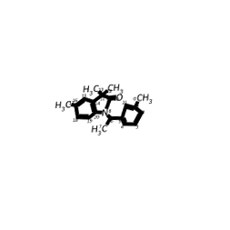 Cc1cccc(C(C)N2C(=O)C(C)(C)c3cc(C)ccc32)c1